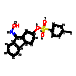 Cc1ccc(S(=O)(=O)Oc2ccc3c(c2)C(=NO)c2ccccc2-3)cc1